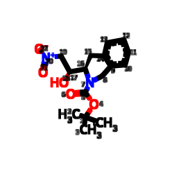 CC(C)(C)OC(=O)N1Cc2ccccc2C[C@@H]1[C@@H](O)C[N+](=O)[O-]